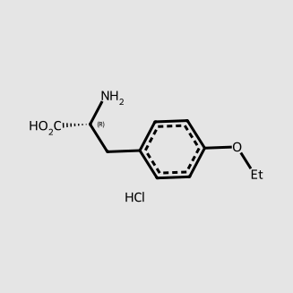 CCOc1ccc(C[C@@H](N)C(=O)O)cc1.Cl